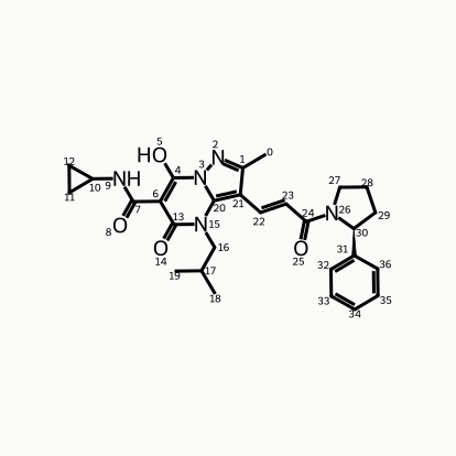 Cc1nn2c(O)c(C(=O)NC3CC3)c(=O)n(CC(C)C)c2c1/C=C/C(=O)N1CCC[C@H]1c1ccccc1